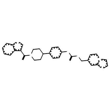 O=C(NCc1ccn2ccnc2c1)Nc1ccc(C2CCN(C(=O)c3coc4ccccc34)CC2)cc1